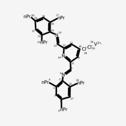 CCCc1cc(CCC)c(N=Cc2cccc(C=Nc3c(CCC)cc(CCC)cc3CCC)n2)c(CCC)c1.[Cl-].[Cl-].[V+2]